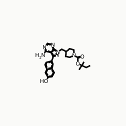 CCC(C)(C)OC(=O)N1CCC(Cn2nc(-c3ccc4cc(O)ccc4c3)c3c(N)ncnc32)CC1